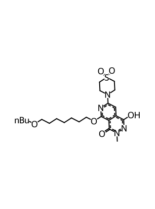 CCCCOCCCCCCCOc1nc(N2CCS(=O)(=O)CC2)cc2c(O)nn(C)c(=O)c12